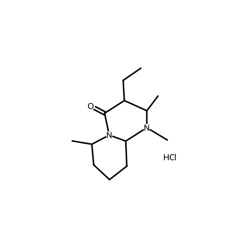 CCC1C(=O)N2C(C)CCCC2N(C)C1C.Cl